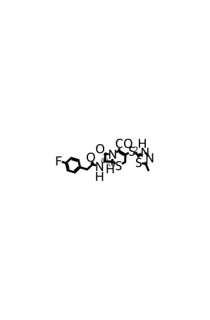 Cc1nnc(SC2=C(C(=O)O)N3C(=O)[C@@H](NC(=O)Cc4ccc(F)cc4)[C@@H]3SC2)s1